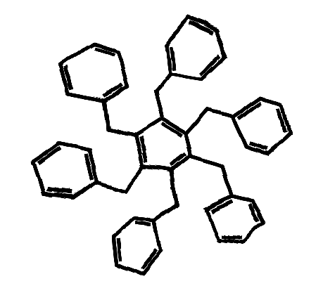 c1ccc(Cc2c(Cc3ccccc3)c(Cc3ccccc3)c(Cc3ccccc3)c(Cc3ccccc3)c2Cc2ccccc2)cc1